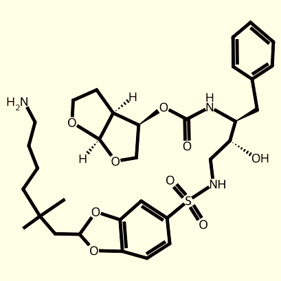 CC(C)(CCCCN)CC1Oc2ccc(S(=O)(=O)NC[C@@H](O)[C@H](Cc3ccccc3)NC(=O)O[C@H]3CO[C@H]4OCC[C@H]43)cc2O1